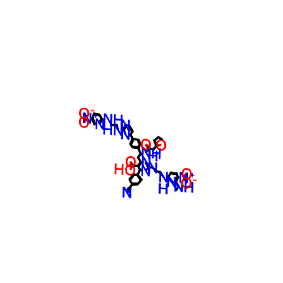 CNc1nc(NCCNc2nc(CC(NC(=O)CC3CCCO3)c3ccc(-c4ccnc(NCCNc5ccc([N+](=O)[O-])cn5)n4)cc3)c(C(=O)O)c(-c3ccc(C#N)cc3)n2)ccc1[N+](=O)[O-]